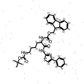 CC(C)(C)OC(=O)NCCCCC(NC(=O)OCC1c2ccccc2-c2ccccc21)C(=O)Nc1nc(-c2ccccc2)cs1